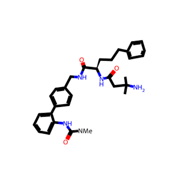 CNC(=O)Nc1ccccc1-c1ccc(CNC(=O)[C@@H](CCCc2ccccc2)NC(=O)CC(C)(C)N)cc1